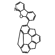 c1cnc2oc3c(-c4cc5c6c7c(ccc8c7c7c(ccc9c7c6c4C9)C8)C5)cccc3c2c1